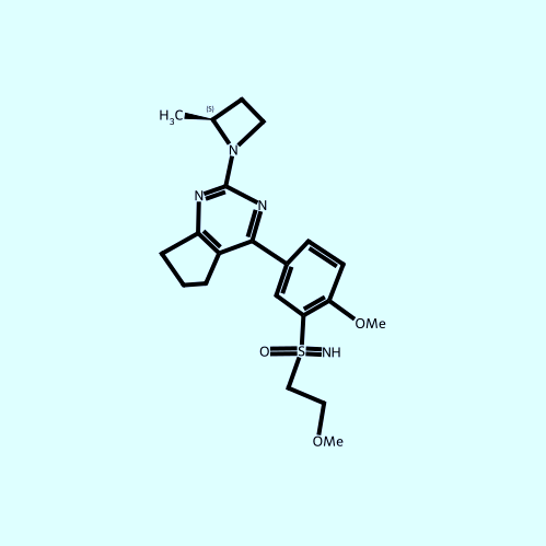 COCCS(=N)(=O)c1cc(-c2nc(N3CC[C@@H]3C)nc3c2CCC3)ccc1OC